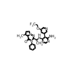 Cc1ccn2nc([C@H](C)Nc3ncnc(N)c3-c3cncc(OCC(F)(F)F)c3)n(-c3ccccc3)c(=O)c12